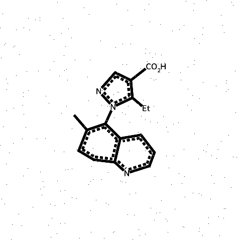 CCc1c(C(=O)O)cnn1-c1c(C)ccc2ncccc12